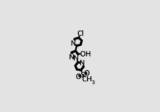 CS(=O)(=O)c1ccc(-n2ncc(-c3ccc(Cl)cn3)c2O)nc1